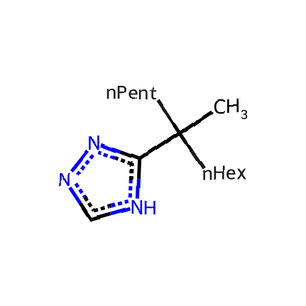 CCCCCCC(C)(CCCCC)c1nnc[nH]1